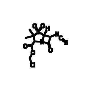 CC1(C)[C@H](C(=O)OCCl)N2C(=O)C(N=C=S)[C@H]2S1(=O)=O